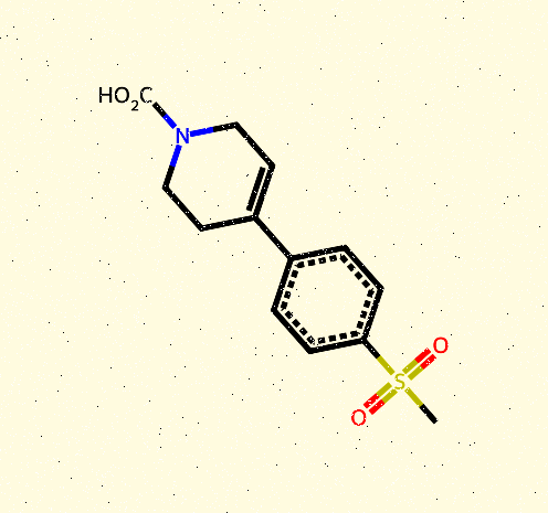 CS(=O)(=O)c1ccc(C2=CCN(C(=O)O)CC2)cc1